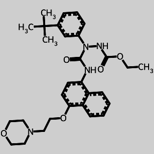 CCOC(=O)NN(C(=O)Nc1ccc(OCCN2CCOCC2)c2ccccc12)c1cccc(C(C)(C)C)c1